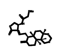 C=C1CC[C@@H]2[C@]3(C)COCO[C@@H]3CC[C@@]2(C)[C@@H]1C/C=C1/C(=O)OC[C@H]1NC(=O)COC